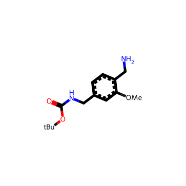 COc1cc(CNC(=O)OC(C)(C)C)ccc1CN